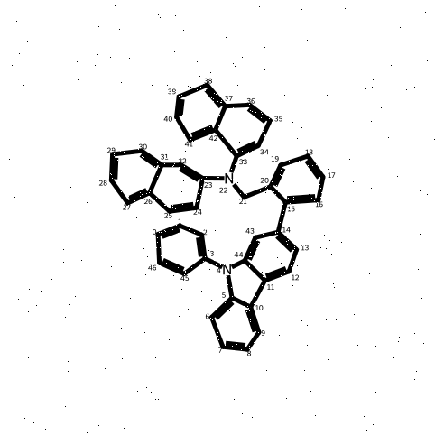 c1ccc(-n2c3ccccc3c3ccc(-c4ccccc4CN(c4ccc5ccccc5c4)c4cccc5ccccc45)cc32)cc1